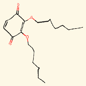 CCCCCCOC1=C(OCCCCCC)C(=O)C=CC1=O